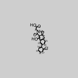 O=C(O)CNC(=O)c1c(O)c2cc(-c3ccccc3Cl)ccc2sc1=O